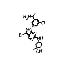 C[C@H](N)c1cc(Cl)cc(-n2nc(Br)c3cnc(N[C@@H]4CC[C@@](C)(C#N)C4)nc32)c1